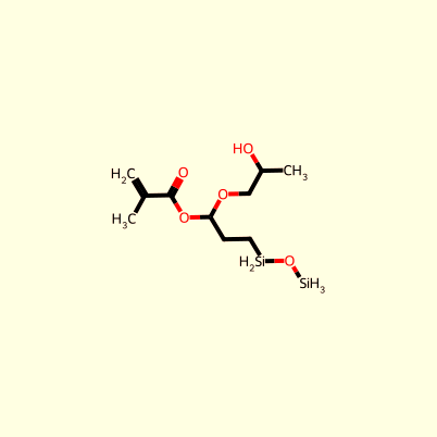 C=C(C)C(=O)OC(CC[SiH2]O[SiH3])OCC(C)O